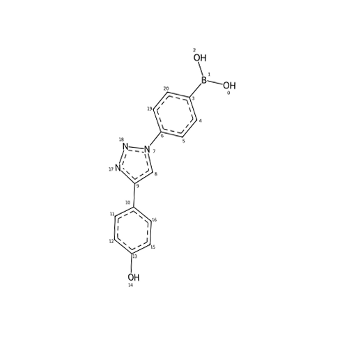 OB(O)c1ccc(-n2cc(-c3ccc(O)cc3)nn2)cc1